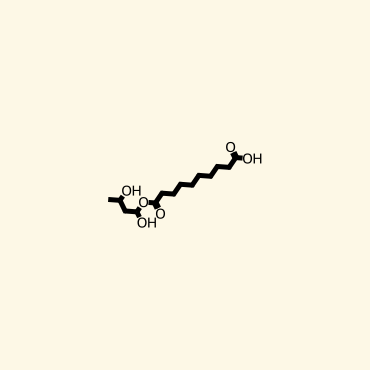 CC(O)CC(O)OC(=O)CCCCCCCCC(=O)O